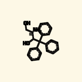 N[C@@H](CO)C(O)C(c1ccccc1)(c1ccccc1)c1ccccc1